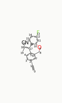 C#Cc1ccc2c(c1)COc1cc(F)ccc1C2=C(C)C#N